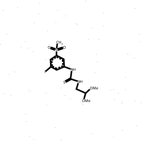 COC(CNC(=S)Nc1cc(I)cc(S(C)(=O)=O)c1)OC